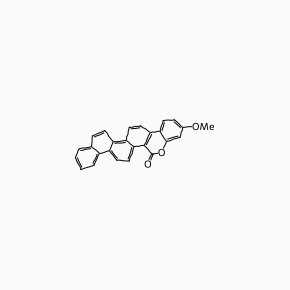 COc1ccc2c(c1)oc(=O)c1c2ccc2c3ccc4ccccc4c3ccc21